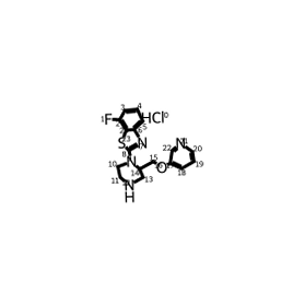 Cl.Fc1cccc2nc(N3CCNCC3COc3cccnc3)sc12